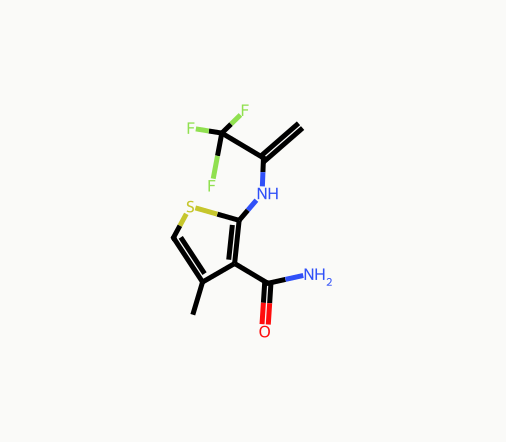 C=C(Nc1scc(C)c1C(N)=O)C(F)(F)F